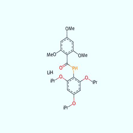 COc1cc(OC)c(C(=O)Pc2c(OC(C)C)cc(OC(C)C)cc2OC(C)C)c(OC)c1.[LiH]